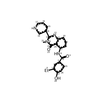 CCc1cc(C(=O)Nc2cccc3nc(-c4cccnc4)n(C)c(=O)c23)ccc1O